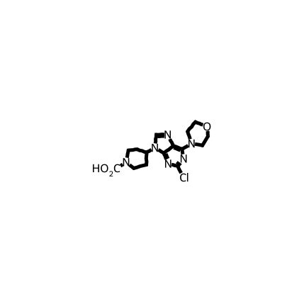 O=C(O)N1CCC(n2cnc3c(N4CCOCC4)nc(Cl)nc32)CC1